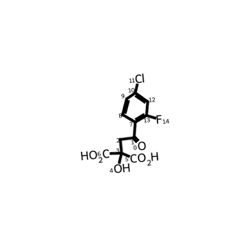 O=C(CC(O)(C(=O)O)C(=O)O)c1ccc(Cl)cc1F